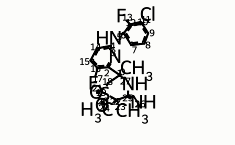 CC1(c2nc(Nc3cccc(Cl)c3F)ccc2F)CS(=O)(=O)C(C)(C)C(=N)N1